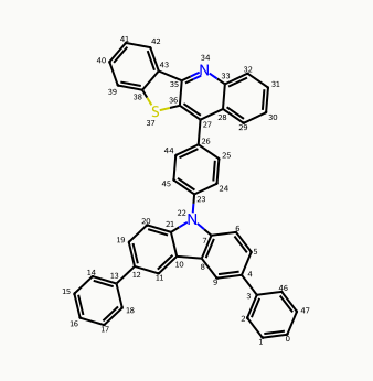 c1ccc(-c2ccc3c(c2)c2cc(-c4ccccc4)ccc2n3-c2ccc(-c3c4ccccc4nc4c3sc3ccccc34)cc2)cc1